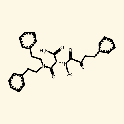 CC(=O)N(C(=O)C(=S)CCc1ccccc1)[C@@H](C(N)=O)C(=O)N(CCc1ccccc1)CCc1ccccc1